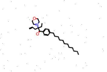 C=CCC(CC)(C(=O)c1ccc(CCCCCCCCCCCC)cc1)N1CCOCC1